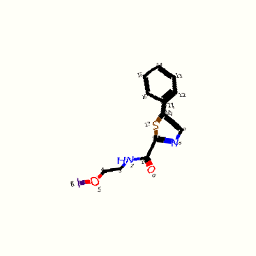 O=C(NCCOI)c1ncc(-c2ccccc2)s1